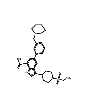 CCS(=O)(=O)N1CCC(c2c[nH]c3c(C(N)=O)cc(-c4cccc(CN5CCCCC5)c4)cc23)CC1